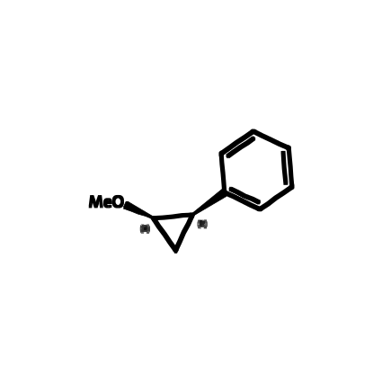 CO[C@@H]1C[C@@H]1c1ccccc1